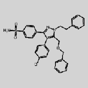 NS(=O)(=O)c1ccc(-c2nn(CCc3ccccc3)c(COCc3ccccc3)c2-c2ccc(Cl)cc2)cc1